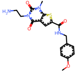 COc1ccc(CNC(=O)c2cc3c(=O)n(CCN)c(=O)n(C)c3s2)cc1